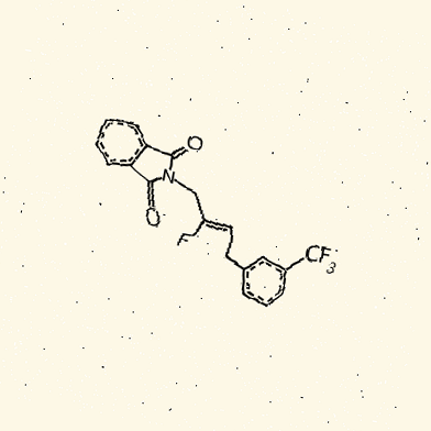 O=C1c2ccccc2C(=O)N1CC(F)=CCc1cccc(C(F)(F)F)c1